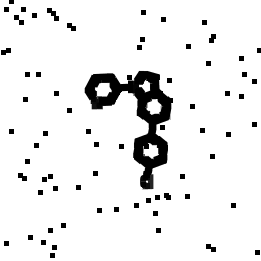 Clc1ccc(-c2ccc3ccn(-c4cccnc4)c3c2)cc1